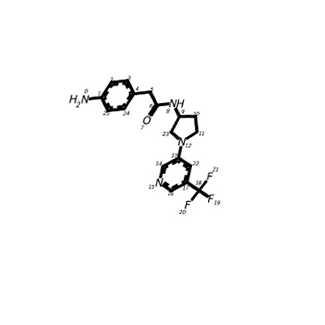 Nc1ccc(CC(=O)NC2CCN(c3cncc(C(F)(F)F)c3)C2)cc1